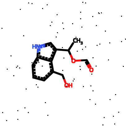 CC(OC=O)c1c[nH]c2cccc(CO)c12